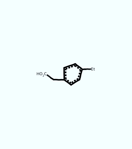 CCc1ccc(CC(=O)O)cc1